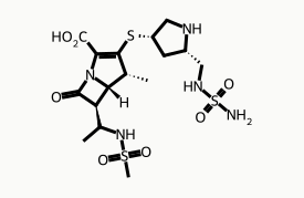 CC(NS(C)(=O)=O)[C@H]1C(=O)N2C(C(=O)O)=C(S[C@@H]3CN[C@H](CNS(N)(=O)=O)C3)[C@H](C)[C@H]12